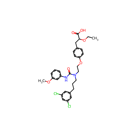 CCOC(Cc1ccc(OCCN(CCCc2cc(Cl)cc(Cl)c2)C(=O)Nc2cccc(OC)c2)cc1)C(=O)O